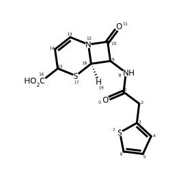 O=C(Cc1cccs1)NC1C(=O)N2C=CC(C(=O)O)S[C@H]12